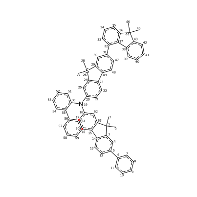 CC1(C)c2cc(-c3ccccc3)ccc2-c2ccc(N(c3ccc4c(c3)S(C)(C)c3cc(-c5cccc6c5-c5ccccc5C6(C)C)ccc3-4)c3ccccc3-c3ccccc3)cc21